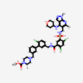 CCc1nc2c(cnn2CC)c(NC2CCOCC2)c1CNS(=O)(=O)c1cc(C(=O)NCc2ccc(F)c(-c3cccc(CN4CCN(C(=O)OC(C)(C)C)[C@@H](C)C4)c3)c2)c(Cl)cc1F